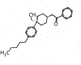 CCCCCc1ccc([C@]2(CC)CC[C@H](CC(=O)c3ccccc3)CC2)cc1